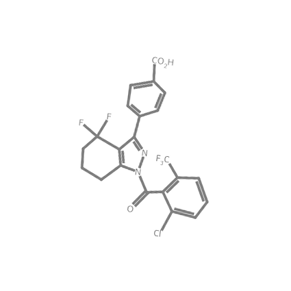 O=C(O)c1ccc(-c2nn(C(=O)c3c(Cl)cccc3C(F)(F)F)c3c2C(F)(F)CCC3)cc1